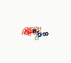 O=P(O)(O)CP(=O)(O)OC[C@H]1O[C@@H](c2csc3c(N4CC5CCCC5C4)cc(Cl)nc23)[C@H](O)[C@@H]1O